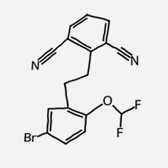 N#Cc1cccc(C#N)c1CCc1cc(Br)ccc1OC(F)F